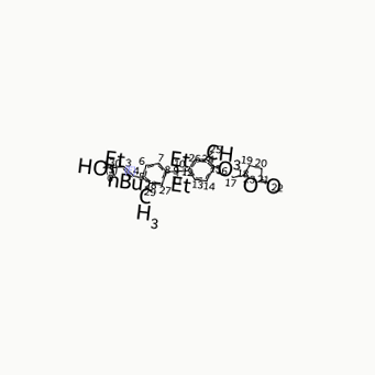 CCCC[C@](O)(/C=C/c1ccc(C(CC)(CC)c2ccc(OCC3CCC(=O)O3)c(C)c2)cc1C)CC